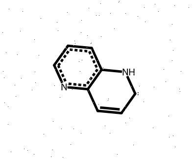 [C]1C=Cc2ncccc2N1